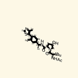 CC(=O)N[C@H](C(=O)N1C[C@H](O)C[C@H]1C(=O)N[C@@H](C)c1ccc(-c2scnc2C)c(I)c1)C(C)(C)C